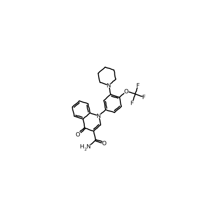 NC(=O)c1cn(-c2ccc(OC(F)(F)F)c(N3CCCCC3)c2)c2ccccc2c1=O